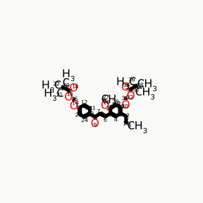 CCCc1cc(C=CC(=O)c2ccc(OCOC(=O)C(C)(C)C)cc2)c(OC)cc1OCOC(=O)C(C)(C)C